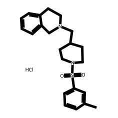 Cc1cccc(S(=O)(=O)N2CCC(CN3CCc4ccccc4C3)CC2)c1.Cl